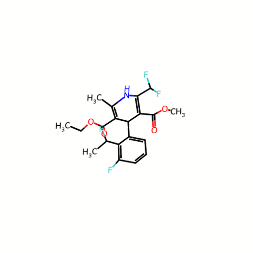 CCOC(=O)C1=C(C)NC(C(F)F)=C(C(=O)OC)C1c1cccc(F)c1C(C)F